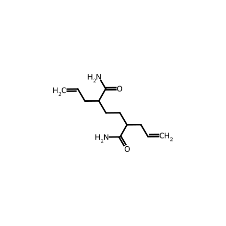 C=CCC(CCC(CC=C)C(N)=O)C(N)=O